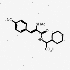 CC(=O)N/C(=C\c1ccc(C#N)cc1)C(=O)NC(C(=O)O)C1CCCCC1